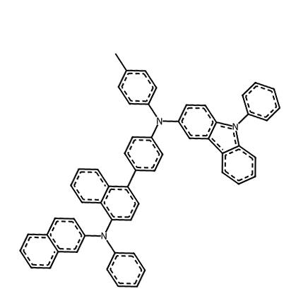 Cc1ccc(N(c2ccc(-c3ccc(N(c4ccccc4)c4ccc5ccccc5c4)c4ccccc34)cc2)c2ccc3c(c2)c2ccccc2n3-c2ccccc2)cc1